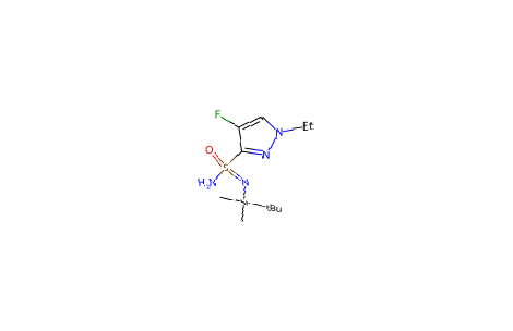 CCn1cc(F)c(S(N)(=O)=N[Si](C)(C)C(C)(C)C)n1